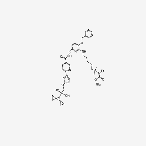 CCN(C(=O)OC(C)(C)C)C(C)(C)CCCCCNc1nc(SNC(=O)c2ccc(-n3ccc(OCC(O)(O)C4C5(CC5)C45CC5)n3)nc2)ccc1OCc1ccccc1